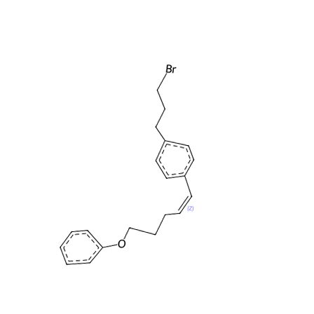 BrCCCc1ccc(/C=C\CCCOc2ccccc2)cc1